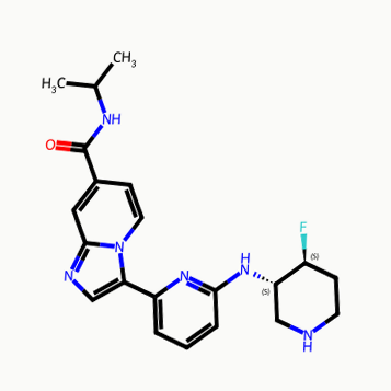 CC(C)NC(=O)c1ccn2c(-c3cccc(N[C@H]4CNCC[C@@H]4F)n3)cnc2c1